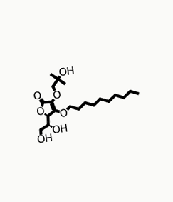 CCCCCCCCCCOC1=C(OCC(C)(C)O)C(=O)O[C@@H]1[C@@H](O)CO